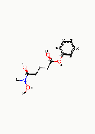 CON(C)C(=O)CCCC(=O)Oc1ccccc1